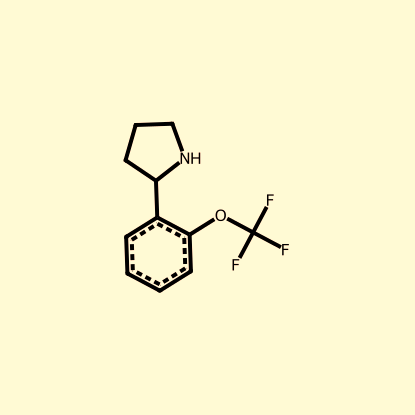 FC(F)(F)Oc1ccccc1C1CCCN1